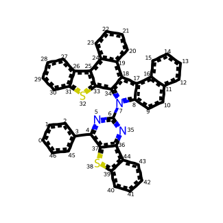 c1ccc(-c2nc(-n3c4ccc5ccccc5c4c4c5ccccc5c5c6ccccc6sc5c43)nc3c2sc2ccccc23)cc1